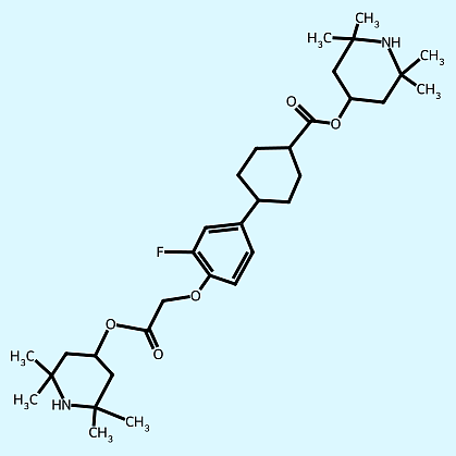 CC1(C)CC(OC(=O)COc2ccc(C3CCC(C(=O)OC4CC(C)(C)NC(C)(C)C4)CC3)cc2F)CC(C)(C)N1